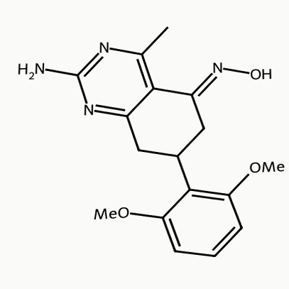 COc1cccc(OC)c1C1CC(=NO)c2c(C)nc(N)nc2C1